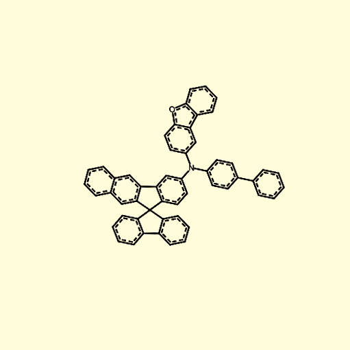 c1ccc(-c2ccc(N(c3ccc4c(c3)-c3cc5ccccc5cc3C43c4ccccc4-c4ccccc43)c3ccc4oc5ccccc5c4c3)cc2)cc1